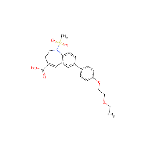 CCOCCOc1ccc(-c2ccc3c(c2)C=C(C(=O)O)CCN3S(C)(=O)=O)cc1